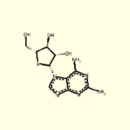 Nc1nc(N)c2c(ncn2[C@@H]2S[C@H](CO)[C@@H](O)[C@@H]2O)n1